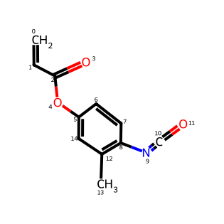 C=CC(=O)Oc1ccc(N=C=O)c(C)c1